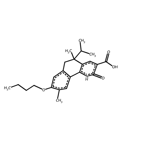 CCCCOc1cc2c(cc1C)-c1[nH]c(=O)c(C(=O)O)cc1C(C)(C(C)C)C2